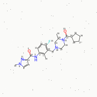 Cc1c(NC(=O)c2ccn(C)n2)ccc(F)c1CN1CCN(C(=O)C2CCCC2)C(C)C1